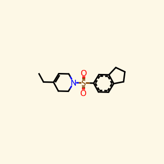 CCC1=CCN(S(=O)(=O)c2ccc3c(c2)CCC3)CC1